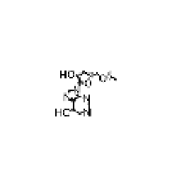 CSOC[C@@H]1C[C@@H](O)[C@H](n2cnc3c2N=CNC[C@H]3O)O1